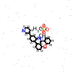 CS(=O)(=O)[O-].C[n+]1c2c3c(cccc3c3ccc(-c4cccnc4)cc31)Oc1ccccc1-2